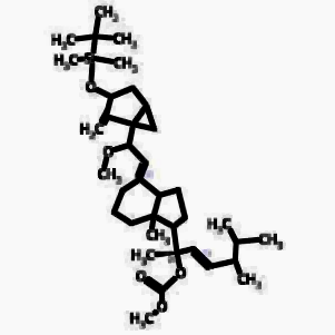 C=C1C(O[Si](C)(C)C(C)(C)C)CC2CC12C(/C=C1\CCCC2(C)C1CCC2[C@](C)(/C=C/C(C)C(C)C)OC(=O)OC)OC